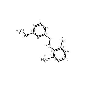 COc1cccc(COc2c(C)cccc2Br)c1